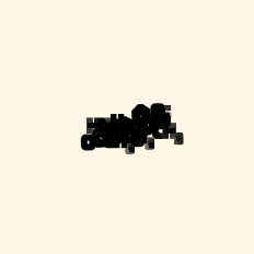 CC(CN(C(=O)C1CC[C@H]2[C@@H]3CNC4=CC(=O)CC[C@]4(C)[C@@H]3CC[C@]12C)c1ccccc1)C[N+](=O)[O-]